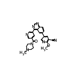 COc1ncc(-c2ccc3ncnc(-c4cncc(C(=O)N5CCN(C)CC5)c4)c3c2)cc1C#N